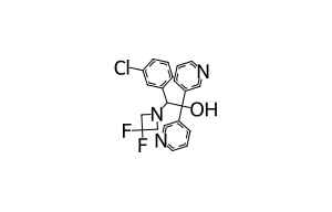 OC(c1cccnc1)(c1cccnc1)C(c1cccc(Cl)c1)N1CC(F)(F)C1